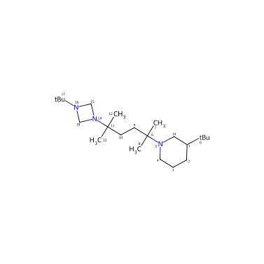 CC(C)(C)C1CCCN(C(C)(C)CCC(C)(C)N2CN(C(C)(C)C)C2)C1